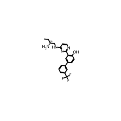 CC[C@H](N)CNc1ccnc(-c2cc(-c3cccc(C(F)(F)F)c3)ccc2O)n1